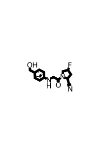 N#CC1CC(F)CN1C(=O)CNC12CCC(CO)(CC1)CC2